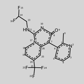 Cc1ncccc1-c1c(=O)nc(NCC(F)F)n2ccc(C(F)(F)F)cc12